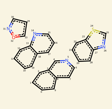 c1ccc2cnccc2c1.c1ccc2ncccc2c1.c1ccc2scnc2c1.c1cnoc1